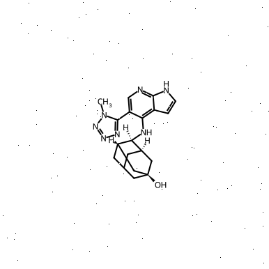 Cn1nnnc1-c1cnc2[nH]ccc2c1N[C@H]1[C@@H]2CC3C[C@H]1C[C@@](O)(C3)C2